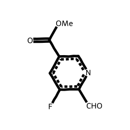 COC(=O)c1cnc(C=O)c(F)c1